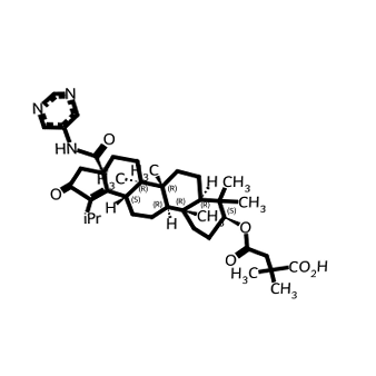 CC(C)C1=C2[C@H]3CC[C@@H]4[C@@]5(C)CC[C@H](OC(=O)CC(C)(C)C(=O)O)C(C)(C)[C@@H]5CC[C@@]4(C)[C@]3(C)CC[C@@]2(C(=O)Nc2cncnc2)CC1=O